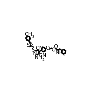 Cc1ccc(-c2nc(CSc3nc(N)c(C#N)c(-c4ccc(OCCOC(=O)[C@@H](N)Cc5ccccc5)cc4)c3C#N)cs2)cc1